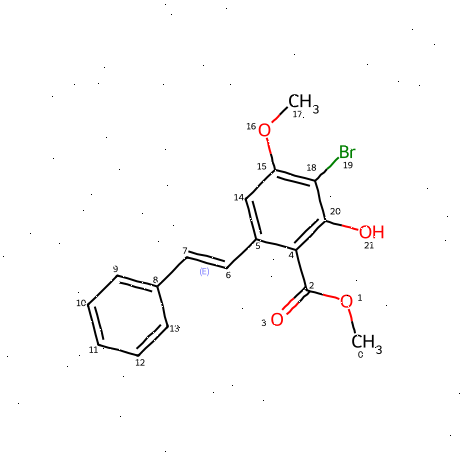 COC(=O)c1c(/C=C/c2ccccc2)cc(OC)c(Br)c1O